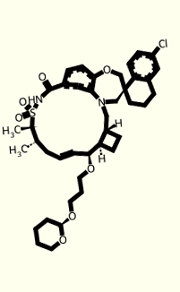 C[C@@H]1[C@@H](C)C/C=C/[C@H](OCCCO[C@@H]2CCCCO2)[C@@H]2CC[C@H]2CN2C[C@@]3(CCCc4cc(Cl)ccc43)COc3ccc(cc32)C(=O)NS1(=O)=O